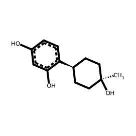 C[C@]1(O)CC[C@@H](c2ccc(O)cc2O)CC1